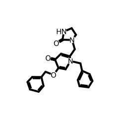 O=C1NCCN1Cc1cc(=O)c(OCc2ccccc2)cn1Cc1ccccc1